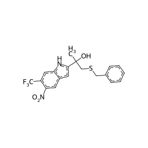 CC(O)(CSCc1ccccc1)c1cc2cc([N+](=O)[O-])c(C(F)(F)F)cc2[nH]1